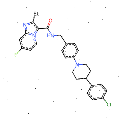 CCc1nc2cc(F)ccn2c1C(=O)NCc1ccc(N2CCC(c3ccc(Cl)cc3)CC2)cc1